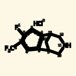 Cl.Fc1cc2c(cc1C(F)(F)F)C1CNCC2C1